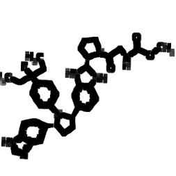 CCC(F)(CC)c1ccc(N2[C@@H](c3ccc4c(c3)NC([C@@H]3CCCN3C(=O)CNC(=O)OC)N4)CC[C@@H]2c2ccc3[nH]cnc3c2)cc1